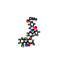 COC(=O)c1cccc(CN2C(=O)C3(CCCC3)c3cc(OCc4c(-c5c(Cl)cccc5Cl)noc4C4CC4)ccc32)c1